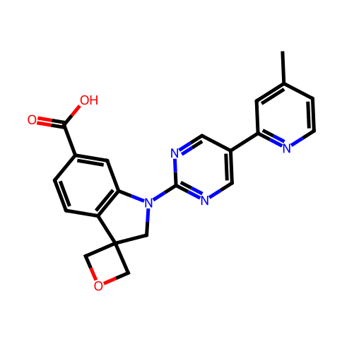 Cc1ccnc(-c2cnc(N3CC4(COC4)c4ccc(C(=O)O)cc43)nc2)c1